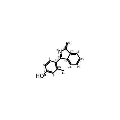 C=C1N=C(c2ccc(O)cc2C)c2ccccc21